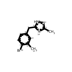 Cc1n[nH]c(Cc2ccc(Br)c(C)c2)n1